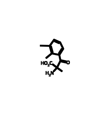 Cc1cccc(C(=O)C(C)(N)C(=O)O)c1C